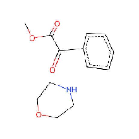 C1COCCN1.COC(=O)C(=O)c1ccccc1